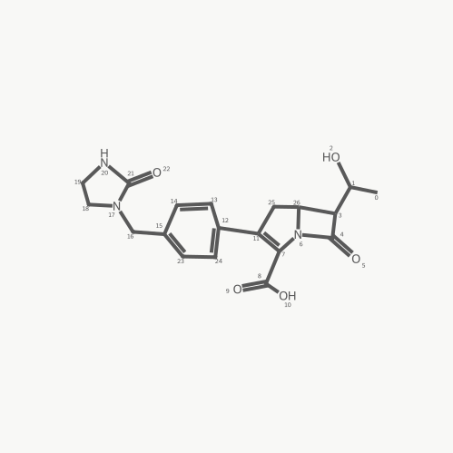 CC(O)C1C(=O)N2C(C(=O)O)=C(c3ccc(CN4CCNC4=O)cc3)CC12